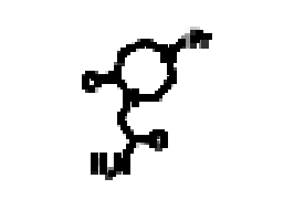 CC(C)N1CCC(=O)N(CC(N)=O)CC1